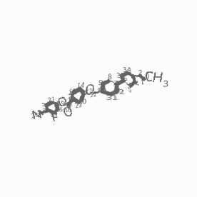 CCC[C@H]1CC[C@H]([C@H]2CC[C@H](COc3ccc(C(=O)Oc4ccc(C#N)c(F)c4)cc3)CC2)CC1